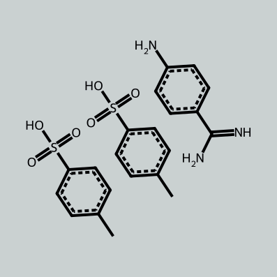 Cc1ccc(S(=O)(=O)O)cc1.Cc1ccc(S(=O)(=O)O)cc1.N=C(N)c1ccc(N)cc1